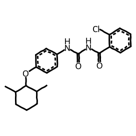 CC1CCCC(C)C1Oc1ccc(NC(=O)NC(=O)c2ccccc2Cl)cc1